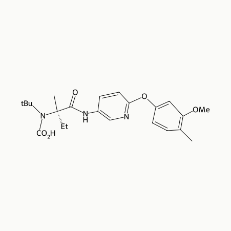 CC[C@](C)(C(=O)Nc1ccc(Oc2ccc(C)c(OC)c2)nc1)N(C(=O)O)C(C)(C)C